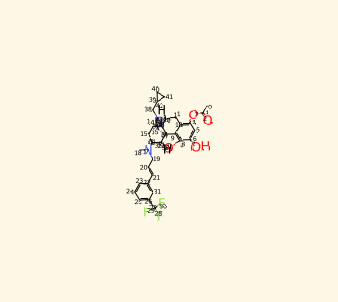 CC(=O)Oc1cc(O)c2c3c1C[C@@H]1[C@@H]4CC[C@H](N(C)CC=Cc5cccc(C(F)(F)F)c5)[C@H](O2)[C@]34CCN1CC1CC1